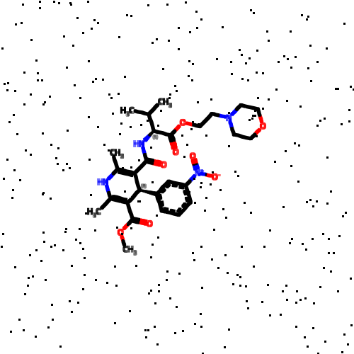 COC(=O)C1=C(C)NC(C)=C(C(=O)N[C@H](C(=O)OCCN2CCOCC2)C(C)C)[C@H]1c1cccc([N+](=O)[O-])c1